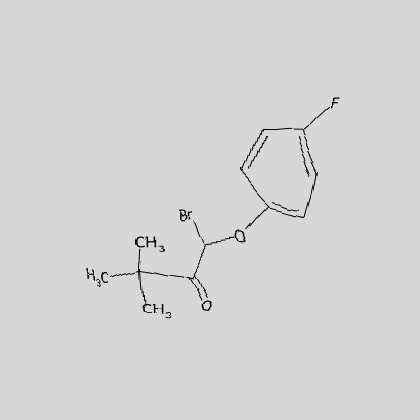 CC(C)(C)C(=O)C(Br)Oc1ccc(F)cc1